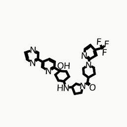 O=C(C1CCN(c2cc(C(F)(F)F)ccn2)CC1)N1CCC(NC2CCC(O)(c3ccc(-c4cnccn4)cn3)CC2)C1